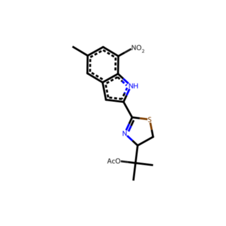 CC(=O)OC(C)(C)C1CSC(c2cc3cc(C)cc([N+](=O)[O-])c3[nH]2)=N1